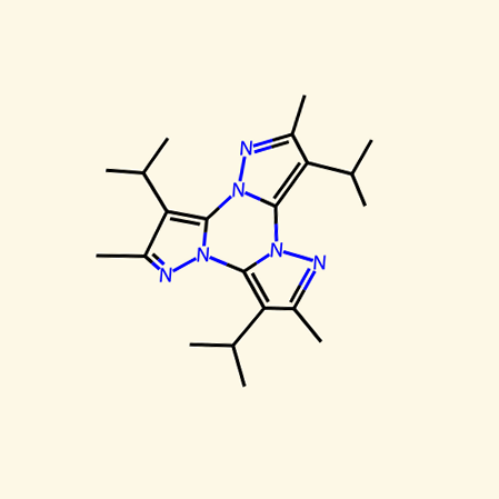 Cc1nn2c(c1C(C)C)n1nc(C)c(C(C)C)c1n1nc(C)c(C(C)C)c21